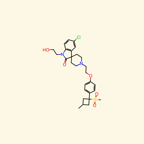 CC1CC(c2ccc(OCCN3CCC4(CC3)C(=O)N(CCO)c3ccc(Cl)cc34)cc2)(S(C)(=O)=O)C1